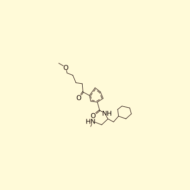 CNCC(CC1CCCCC1)NC(=O)c1cccc(C(=O)CCCCOC)c1